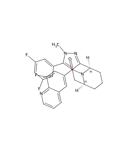 Cn1nc2c(c1-c1cc(F)cc(F)c1)C[C@@H]1CCC[C@H]2N1C(=O)c1cc(F)c2ncccc2c1